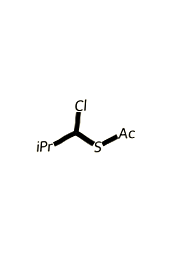 CC(=O)SC(Cl)C(C)C